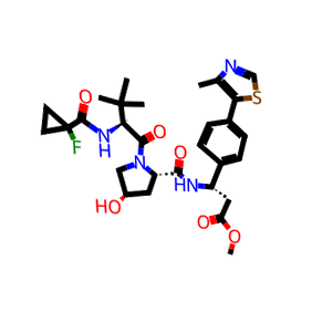 COC(=O)C[C@H](NC(=O)[C@@H]1C[C@@H](O)CN1C(=O)[C@@H](NC(=O)C1(F)CC1)C(C)(C)C)c1ccc(-c2scnc2C)cc1